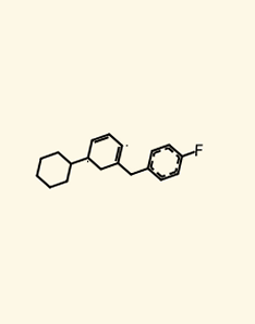 Fc1ccc(CC2=[C]C=C[C](C3CCCCC3)C2)cc1